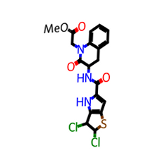 COC(=O)CN1C(=O)C(NC(=O)c2cc3c([nH]2)C(Cl)C(Cl)S3)Cc2ccccc21